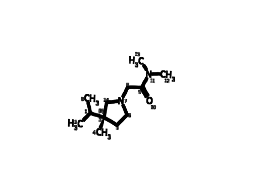 CC(C)[C@@]1(C)CCN(CC(=O)N(C)C)C1